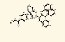 CC(C)CN(C[C@@H](O)[C@H](Cc1ccccc1)N(Cc1ccccc1)Cc1ccccc1)S(=O)(=O)c1ccc(C(=O)CBr)cc1